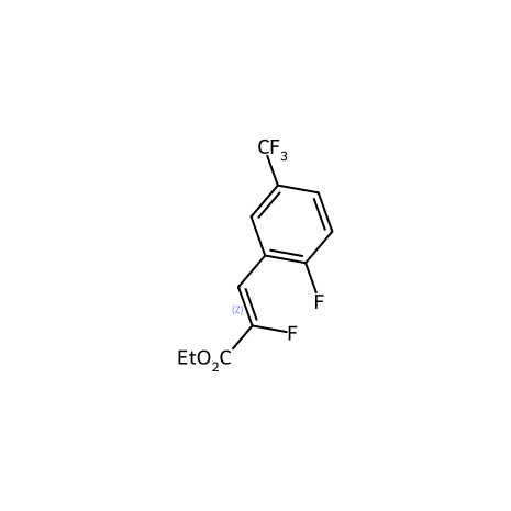 CCOC(=O)/C(F)=C/c1cc(C(F)(F)F)ccc1F